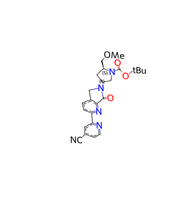 COC[C@@H]1C[C@@H](N2Cc3ccc(-c4cc(C#N)ccn4)nc3C2=O)CN1C(=O)OC(C)(C)C